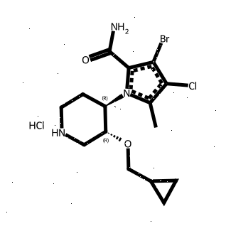 Cc1c(Cl)c(Br)c(C(N)=O)n1[C@@H]1CCNC[C@H]1OCC1CC1.Cl